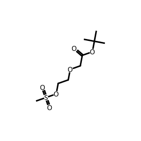 CC(C)(C)OC(=O)COCCOS(C)(=O)=O